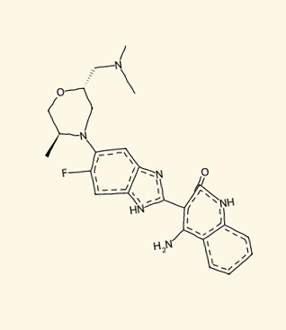 C[C@H]1CO[C@H](CN(C)C)CN1c1cc2nc(-c3c(N)c4ccccc4[nH]c3=O)[nH]c2cc1F